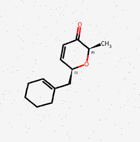 C[C@H]1O[C@@H](CC2=CCCCC2)C=CC1=O